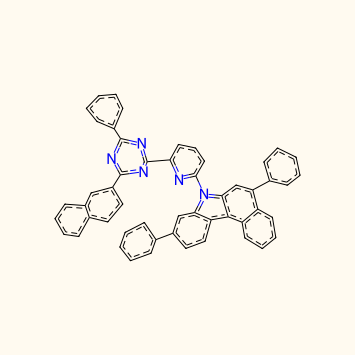 c1ccc(-c2ccc3c4c5ccccc5c(-c5ccccc5)cc4n(-c4cccc(-c5nc(-c6ccccc6)nc(-c6ccc7ccccc7c6)n5)n4)c3c2)cc1